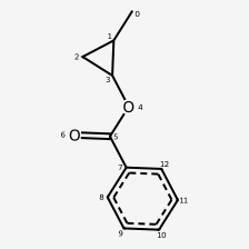 CC1CC1OC(=O)c1ccccc1